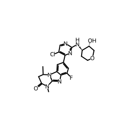 CC1CC(=O)N(C)c2nc3c(F)cc(-c4nc(N[C@@H]5CCOC[C@H]5O)ncc4Cl)cc3n21